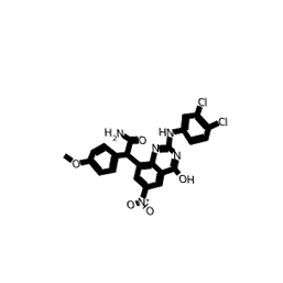 COc1ccc(C(C(N)=O)c2cc([N+](=O)[O-])cc3c(O)nc(Nc4ccc(Cl)c(Cl)c4)nc23)cc1